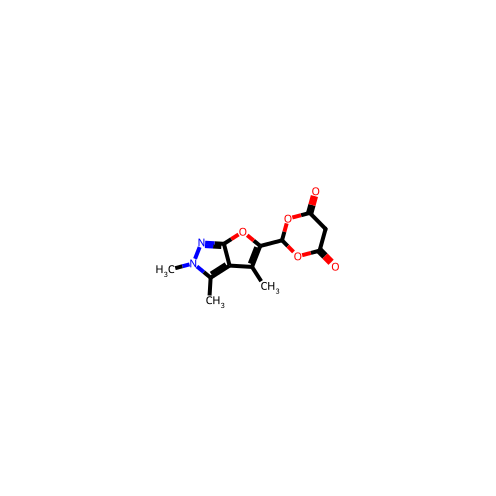 Cc1c(C2OC(=O)CC(=O)O2)oc2nn(C)c(C)c12